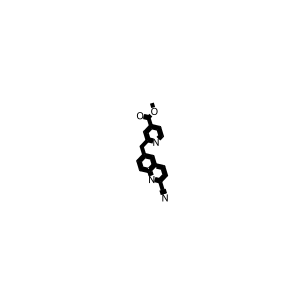 COC(=O)c1ccnc(Cc2ccc3nc(C#N)ccc3c2)c1